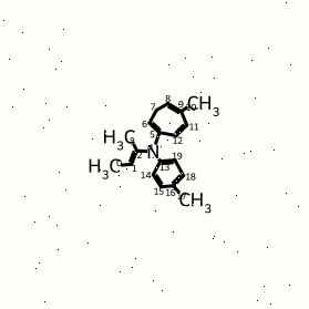 C/C=C(\C)N(C1=CCC=C(C)C=C1)c1ccc(C)cc1